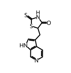 O=C1NC(=S)SC1Cc1c[nH]c2cnccc12